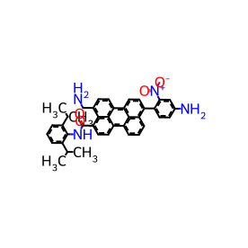 CC(C)c1cccc(C(C)C)c1NC(=O)c1ccc2c3cccc4c(-c5ccc(N)cc5[N+](=O)[O-])ccc(c5ccc(C(N)=O)c1c52)c43